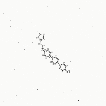 Clc1ccc(-c2ccc(-c3ccc(OCCN4CCCC4)cc3)cn2)cc1